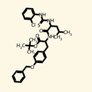 CC(C)CC(NC(=S)Nc1ccccc1Cl)C(=O)NC(Cc1ccc(OCc2ccccc2)cc1)C(=O)OC(C)(C)C